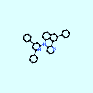 c1ccc(-c2cc(-c3ccccc3)nc(N3c4cccnc4-c4cc(-c5ccccc5)cc5cccc3c45)c2)cc1